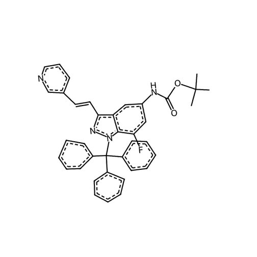 CC(C)(C)OC(=O)Nc1cc(F)c2c(c1)c(/C=C/c1cccnc1)nn2C(c1ccccc1)(c1ccccc1)c1ccccc1